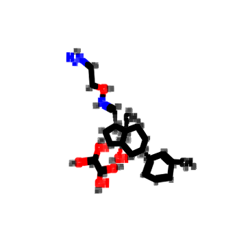 Cc1cccc([C@H]2CC[C@]3(C)[C@@H](C=NOCCN)CC[C@]3(O)C2)c1.O=C(O)C(=O)O